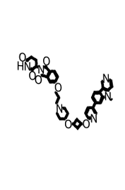 Cn1c2ccncc2c2ccc(-c3ccc(OC4CC(OC5CCN(CCCOc6ccc7c(c6)C(=O)N(C6CCC(=O)NC6=O)C7=O)CC5)C4)nc3)cc21